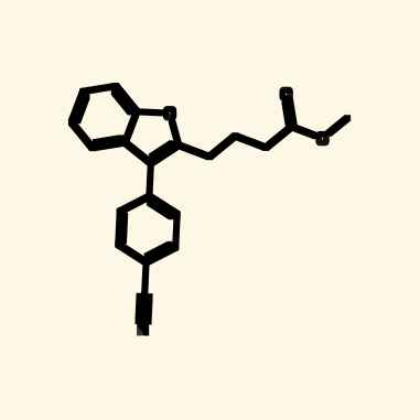 COC(=O)CCCc1oc2ccccc2c1-c1ccc(C#N)cc1